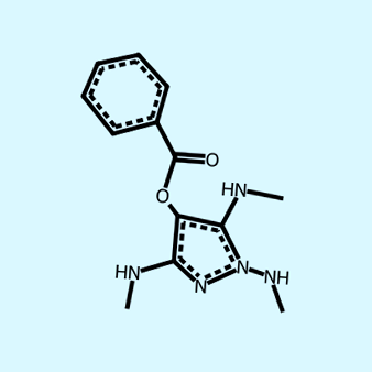 CNc1nn(NC)c(NC)c1OC(=O)c1ccccc1